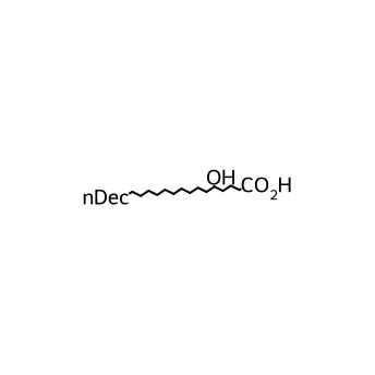 CCCCCCCCCCCCCCCCCCCCC(O)CCCC(=O)O